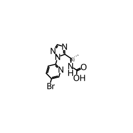 C[C@H](NC(=O)O)c1ncnn1-c1ccc(Br)cn1